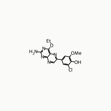 CCOc1nc(N)nc2ncc(-c3cc(Cl)c(O)c(OC)c3)nc12